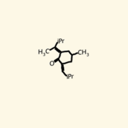 C/C(=C1/CC(C)C/C(=C\C(C)C)C1=O)C(C)C